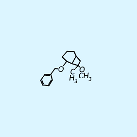 COC1(C)CC2CCCC(OCc3ccccc3)C21